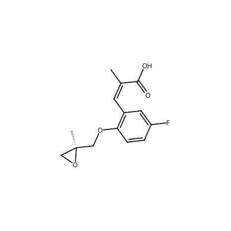 CC(=Cc1cc(F)ccc1OC[C@]1(C)CO1)C(=O)O